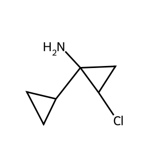 NC1(C2CC2)CC1Cl